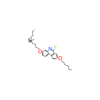 CCCCCCOc1ccc2c(c1)c(F)nc1cc(OCCCC[Si](C)(C)CCCC)ccc12